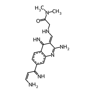 CN(C)C(=O)CN/C=C1\C(=N)c2ccc(C(=N)/C=C\N)cc2N=C1N